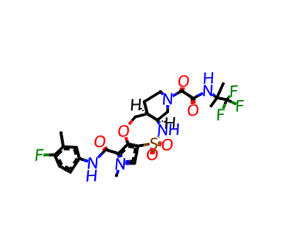 Cc1cc(NC(=O)c2c3c(cn2C)S(=O)(=O)N[C@@H]2CN(C(=O)C(=O)NC(C)(C)C(F)(F)F)CC[C@@H]2CO3)ccc1F